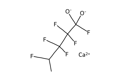 CC(F)C(F)(F)C(F)(F)C([O-])([O-])F.[Ca+2]